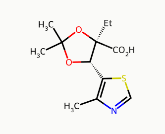 CC[C@@]1(C(=O)O)OC(C)(C)O[C@H]1c1scnc1C